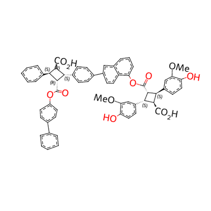 COc1cc([C@H]2[C@H](C(=O)O)[C@H](c3ccc(O)c(OC)c3)[C@H]2C(=O)Oc2cccc3cc(-c4ccc([C@H]5[C@H](C(=O)O)[C@H](c6ccccc6)[C@H]5C(=O)Oc5ccc(-c6ccccc6)cc5)cc4)ccc23)ccc1O